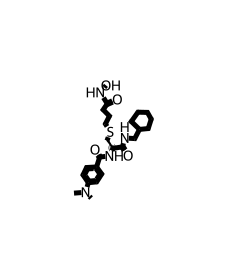 CN(C)c1ccc(C(=O)N[C@@H](CSCCCC(=O)NO)C(=O)NCC2CCCCC2)cc1